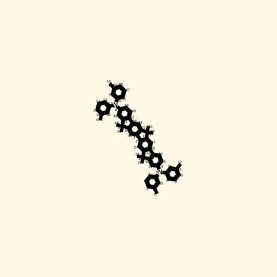 Cc1cccc(N(c2cccc(C)c2)c2ccc3c(c2)C(C)(C)c2cc4c(cc2-3)C(C)(C)c2cc3c(cc2-4)C(C)(C)c2cc(N(c4cccc(C)c4)c4cccc(C)c4)ccc2-3)c1